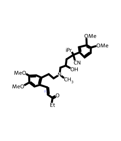 CCC(=O)/C=C/c1cc(OC)c(OC)cc1CCN(C)CC(O)CC(C#N)(c1ccc(OC)c(OC)c1)C(C)C